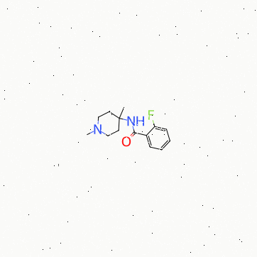 CN1CCC(C)(NC(=O)c2ccccc2F)CC1